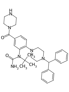 CC(C)(C)N(C(N)=O)c1cc(C(=O)N2CCNCC2)ccc1N1CCN(C(c2ccccc2)c2ccccc2)CC1